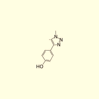 Cn1[c]c(-c2ccc(O)cc2)nn1